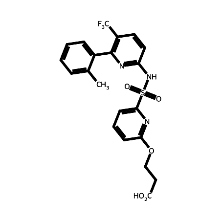 Cc1ccccc1-c1nc(NS(=O)(=O)c2cccc(OCCC(=O)O)n2)ccc1C(F)(F)F